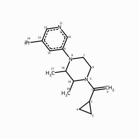 C=C(C1CC1)N1CCN(c2cncc(C(C)C)c2)C(C)C1C